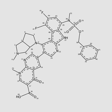 CN1CC2CCN(c3c(-c4cnc5c(c4)c(=O)c(C(=O)O)cn5C)cnc4[nH]c5c(N(C)S(=O)(=O)OCc6ccccc6)cc(F)c(F)c5c34)C2C1